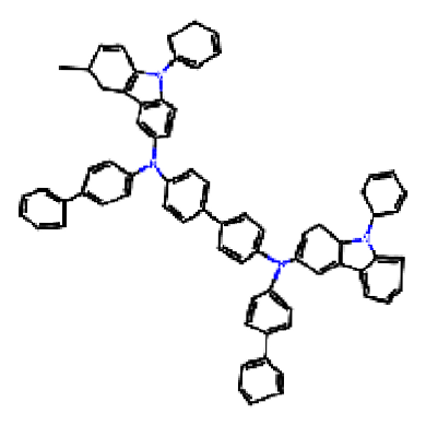 CC1C=Cc2c(c3cc(N(c4ccc(-c5ccccc5)cc4)c4ccc(-c5ccc(N(C6=CCC7C(=C6)c6ccccc6N7C6C=CC=CC6)c6ccc(-c7ccccc7)cc6)cc5)cc4)ccc3n2C2=CC=CCC2)C1